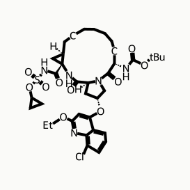 CCOc1cc(O[C@@H]2C[C@H]3C(=O)N[C@]4(C(=O)NS(=O)(=O)OC5CC5)C[C@H]4CCCCCCC[C@H](NC(=O)OC(C)(C)C)C(=O)N3C2)c2cccc(Cl)c2n1